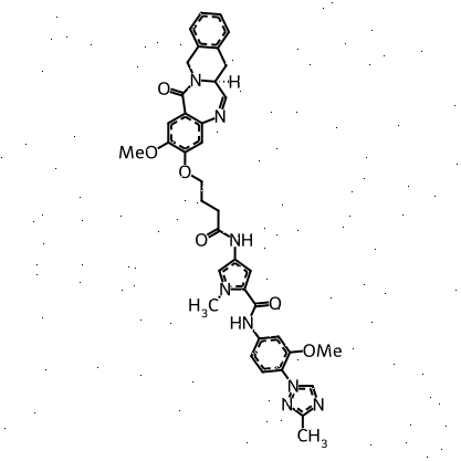 COc1cc2c(cc1OCCCC(=O)Nc1cc(C(=O)Nc3ccc(-n4cnc(C)n4)c(OC)c3)n(C)c1)N=C[C@@H]1Cc3ccccc3CN1C2=O